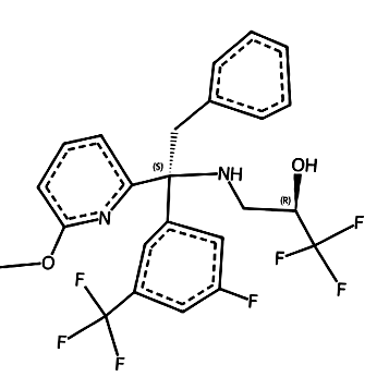 COc1cccc([C@@](Cc2ccccc2)(NC[C@@H](O)C(F)(F)F)c2cc(F)cc(C(F)(F)F)c2)n1